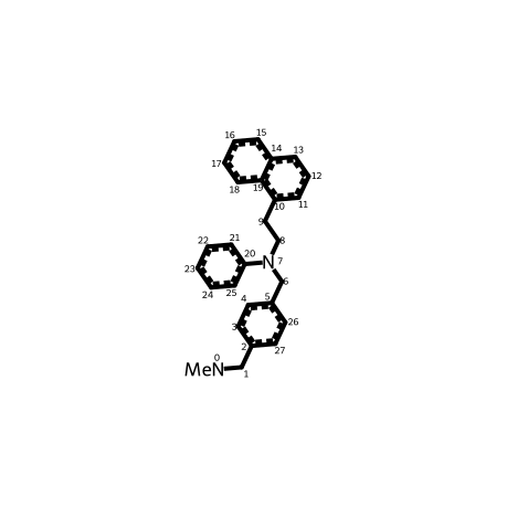 CNCc1ccc(CN(CCc2cccc3ccccc23)c2ccccc2)cc1